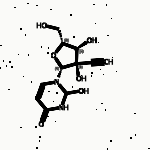 C#C[C@@]1(O)[C@H](O)[C@@H](CO)O[C@H]1N1C=CC(=O)NC1O